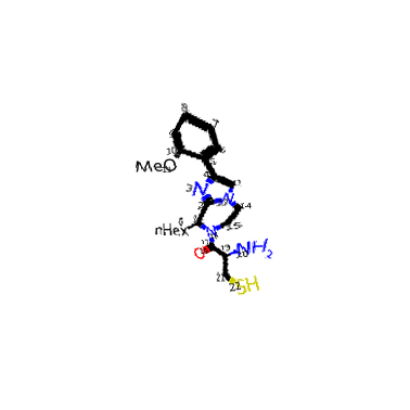 CCCCCC[C@H]1c2nc(-c3ccccc3OC)cn2CCN1C(=O)[C@@H](N)CS